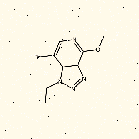 CCN1N=NC2C(OC)=NC=C(Br)C21